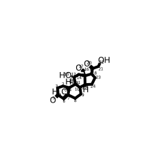 CC12CCC(=O)C=C1CCC1[C@@H]2[C@@H](O)C[C@]2(C=O)C(C(=O)CO)CC[C@@H]12